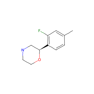 Cc1ccc([C@@H]2C[N]CCO2)c(F)c1